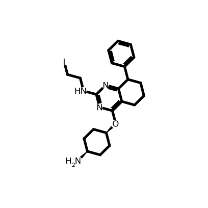 N[C@H]1CC[C@@H](Oc2nc(NCCI)nc3c2CCCC3c2ccccc2)CC1